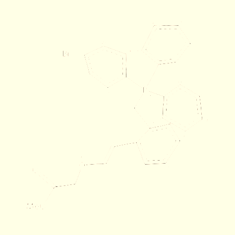 COC(=O)COC=Cc1ccccc1C[P+](c1ccccc1)(c1ccccc1)c1ccccc1.[Br-]